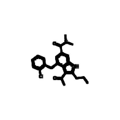 CCCc1[nH]c2cc(C(=O)N(C)C)cc(Cc3ccccc3Cl)c2c1C(C)=O